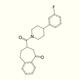 O=C1CC(C(=O)N2CCC(c3cccc(F)c3)CC2)CCc2ccccc21